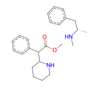 CN[C@@H](C)Cc1ccccc1.COC(=O)C(c1ccccc1)C1CCCCN1